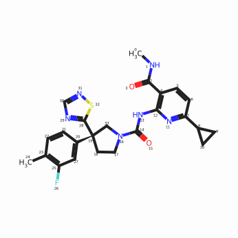 CNC(=O)c1ccc(C2CC2)nc1NC(=O)N1CC[C@](c2ccc(C)c(F)c2)(c2ncns2)C1